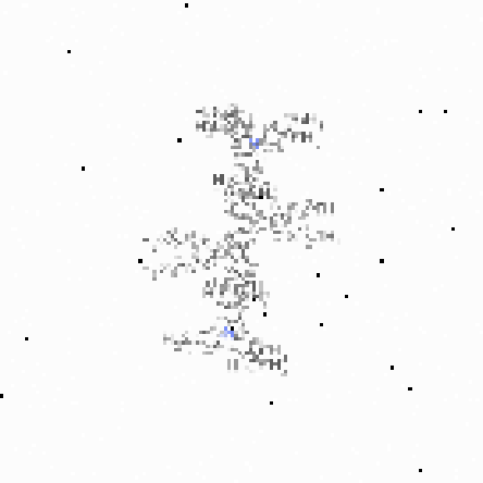 C=Cc1ccc(N(c2ccc(C(C)(C)C)cc2)c2ccc(C(C)(C)C(C)(C)c3ccc4c(c3)C(CCCCCCCC)(CCCCCCCC)c3cc5c(cc3-4)C(CCCCCCCC)(CCCCCCCC)c3cc(C(C)(C)C(C)(C)c4ccc(N(c6ccc(C(C)CC)cc6)c6ccc(C(C)(C)C)cc6)cc4)ccc3-5)cc2)cc1